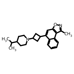 Cc1noc2cc(C3CC(N4CCC(C(C)C)CC4)C3)c3ccccc3c12